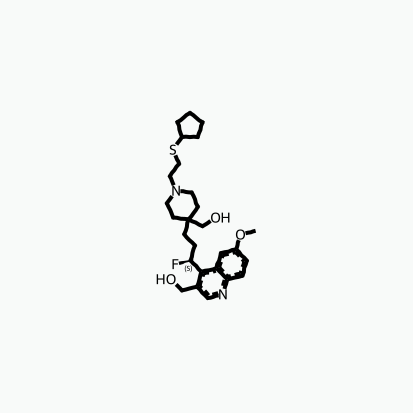 COc1ccc2ncc(CO)c([C@@H](F)CCC3(CO)CCN(CCSC4CCCC4)CC3)c2c1